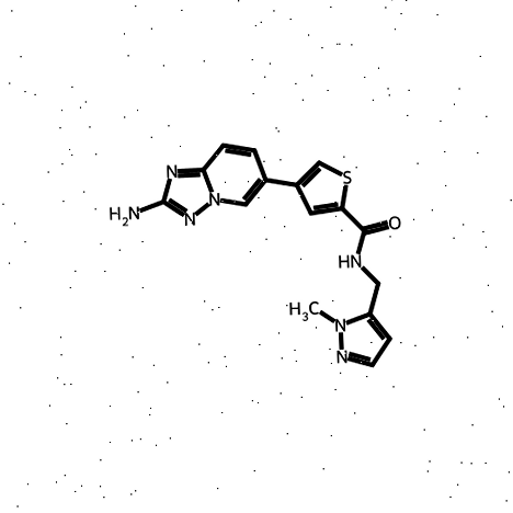 Cn1nccc1CNC(=O)c1cc(-c2ccc3nc(N)nn3c2)cs1